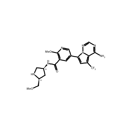 COC[C@@H]1C[C@H](NC(=O)c2cc(-c3cc(C(F)(F)F)c4c(N)ncnn34)cnc2OC)CN1